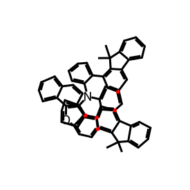 CC1(C)c2ccccc2-c2ccc(-c3ccccc3N(c3ccccc3-c3cccc4c3C(C)(C)c3ccccc3-4)c3ccccc3-c3cccc4oc5c6ccccc6ccc5c34)cc21